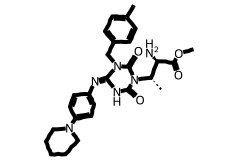 COC(=O)[C@H](N)[C@H](C)n1c(=O)[nH]/c(=N\c2ccc(N3CCCCC3)cc2)n(Cc2ccc(C)cc2)c1=O